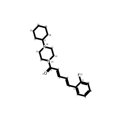 O=C(C=CC=Cc1ccccc1F)N1CCN(C2CCCCC2)CC1